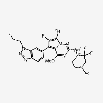 [2H]c1c(F)c(-c2ccc3nnn(CCF)c3c2)c2c(OC)nc(N[C@@H]3CCN(C(C)=O)CC3(F)F)nn12